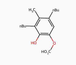 CCCCc1cc(OC(=O)O)c(O)c(CCCC)c1C